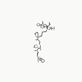 CCC(=O)O.CCC(=O)O.CCCCC(OC)C(C)CCCC(C)C(OC)C(C)C=CN(C)C=O